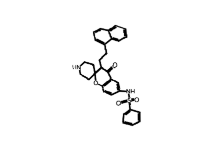 O=C1c2cc(NS(=O)(=O)c3ccccc3)ccc2OC2(CCNCC2)C1CCc1cccc2ccccc12